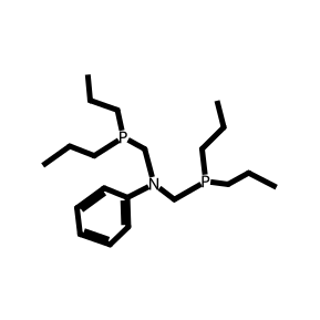 CCCP(CCC)CN(CP(CCC)CCC)c1ccccc1